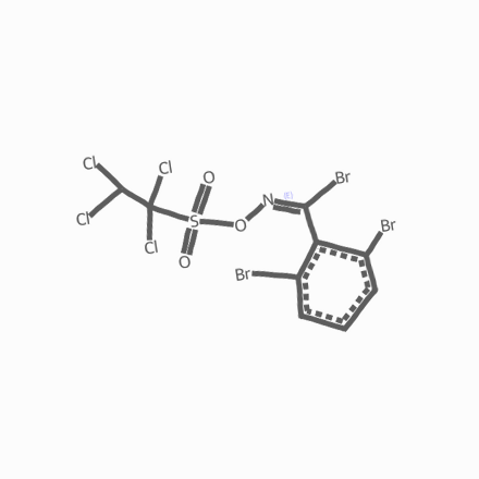 O=S(=O)(O/N=C(/Br)c1c(Br)cccc1Br)C(Cl)(Cl)C(Cl)Cl